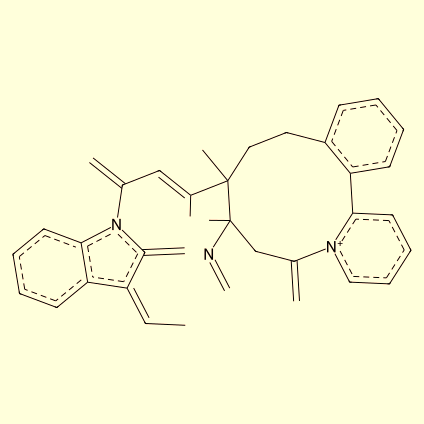 C=NC1(C)CC(=C)[n+]2ccccc2-c2ccccc2CCC1(C)/C(C)=C/C(=C)n1c(=C)/c(=C\C)c2ccccc21